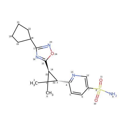 CC1(C)[C@@H](c2ccc(S(N)(=O)=O)cn2)[C@@H]1c1nc(C2CCCC2)no1